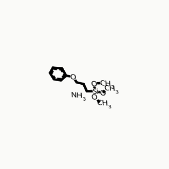 CO[Si](CCCOc1ccccc1)(OC)OC.N